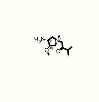 CO[C@@H]1C[N+](C)(CC(=O)C(C)C)C[C@H]1N